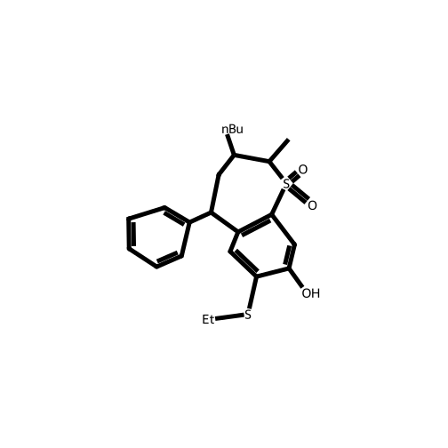 CCCCC1CC(c2ccccc2)c2cc(SCC)c(O)cc2S(=O)(=O)C1C